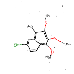 CCCCOc1c(OCCCC)c(OC(C)=O)c2cc(Cl)ccc2c1OCCCC